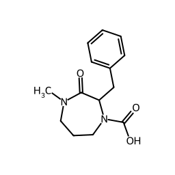 CN1CCCN(C(=O)O)C(Cc2ccccc2)C1=O